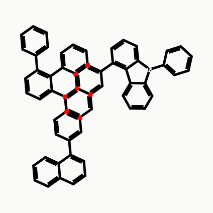 c1ccc(-c2ccccc2-c2c(-c3ccccc3)cccc2N(c2ccc(-c3cccc4ccccc34)cc2)c2ccc(-c3cccc4c3c3ccccc3n4-c3ccccc3)cc2)cc1